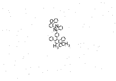 CC1(C)c2ccccc2-c2c1ccc(-c1ccccc1)c2-c1ccc(-c2nc(-c3cccc4oc5ccccc5c34)nc3ccccc23)cc1